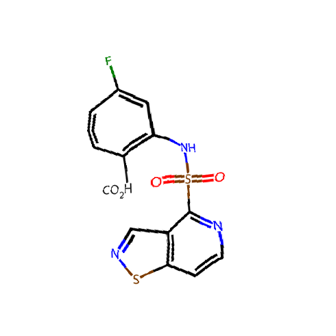 O=C(O)c1ccc(F)cc1NS(=O)(=O)c1nccc2sncc12